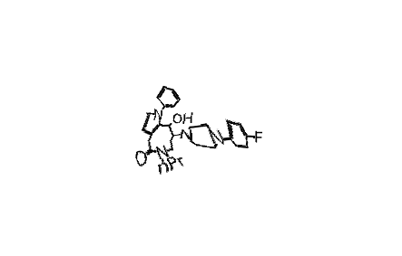 CCCN1CC(N2CCN(c3ccc(F)cc3)CC2)C(O)c2c(ccn2-c2ccccc2)C1=O